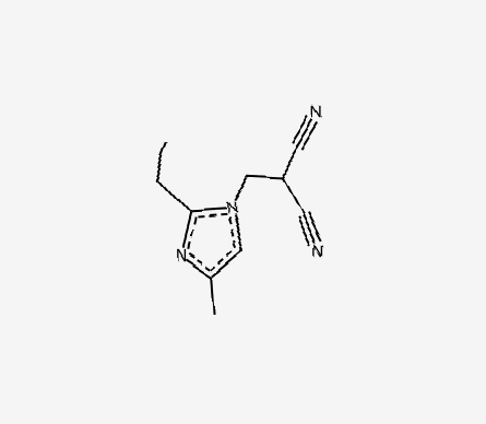 CCc1nc(C)cn1CC(C#N)C#N